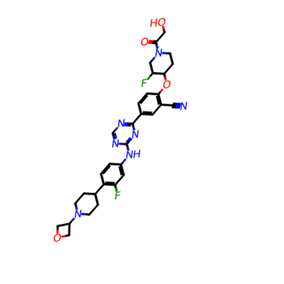 N#Cc1cc(-c2ncnc(Nc3ccc(C4CCN(C5COC5)CC4)c(F)c3)n2)ccc1OC1CCN(C(=O)CO)CC1F